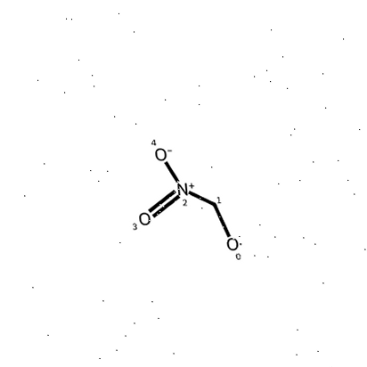 [O]C[N+](=O)[O-]